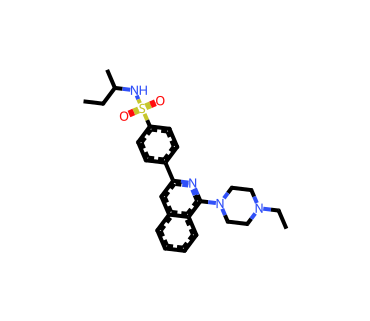 CCC(C)NS(=O)(=O)c1ccc(-c2cc3ccccc3c(N3CCN(CC)CC3)n2)cc1